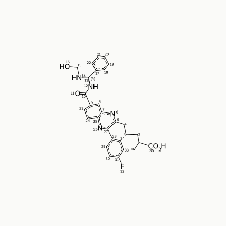 CC(CCCc1nc2cc(C(=O)N[C@@H](NCO)c3ccccc3)ccc2nc1-c1ccc(F)cc1)C(=O)O